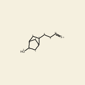 OC1CC2CC1CC2CCC=S